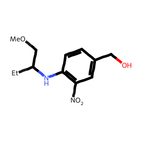 CCC(COC)Nc1ccc(CO)cc1[N+](=O)[O-]